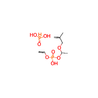 C=COP(=O)(O)OC(C)OCC(=C)C.O=[PH](O)O